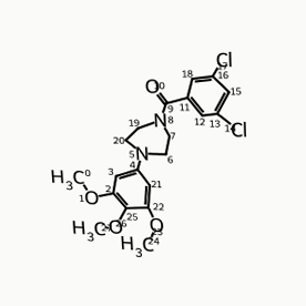 COc1cc(N2CCN(C(=O)c3cc(Cl)cc(Cl)c3)CC2)cc(OC)c1OC